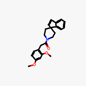 COc1ccc(CC(=O)N2CCC3(C=Cc4ccccc43)CC2)c(OC)c1